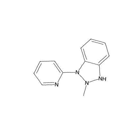 CN1Nc2ccccc2N1c1ccccn1